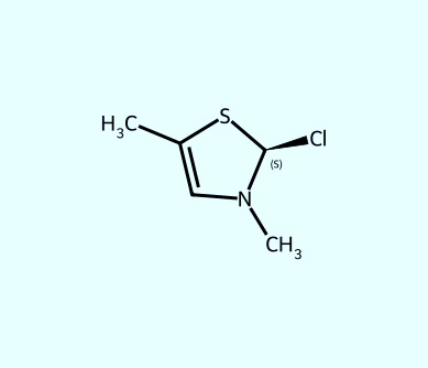 CC1=CN(C)[C@H](Cl)S1